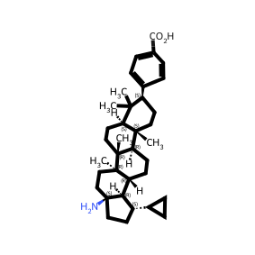 CC1(C)[C@@H](c2ccc(C(=O)O)cc2)CC[C@]2(C)[C@H]3CC[C@@H]4[C@H]5[C@H](C6CC6)CC[C@]5(N)CC[C@@]4(C)[C@]3(C)CC[C@@H]12